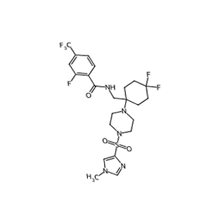 Cn1cnc(S(=O)(=O)N2CCN(C3(CNC(=O)c4ccc(C(F)(F)F)cc4F)CCC(F)(F)CC3)CC2)c1